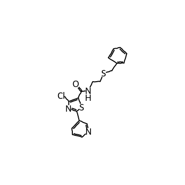 O=C(NCCSCc1ccccc1)c1sc(-c2cccnc2)nc1Cl